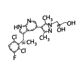 Cc1nn(C[C@@H](O)CO)c(C)c1-c1cnc2[nH]cc([C@H](C)c3c(Cl)ccc(F)c3Cl)c2c1